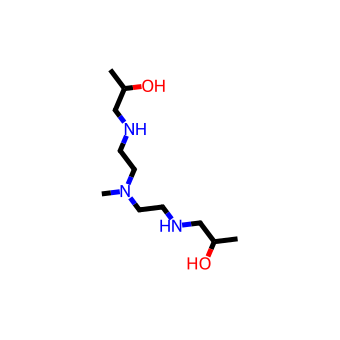 CC(O)CNCCN(C)CCNCC(C)O